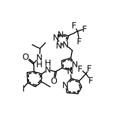 Cc1cc(I)cc(C(=O)NC(C)C)c1NC(=O)c1cc(Cn2nnnc2C(F)(F)F)nn1-c1ncccc1C(F)(F)F